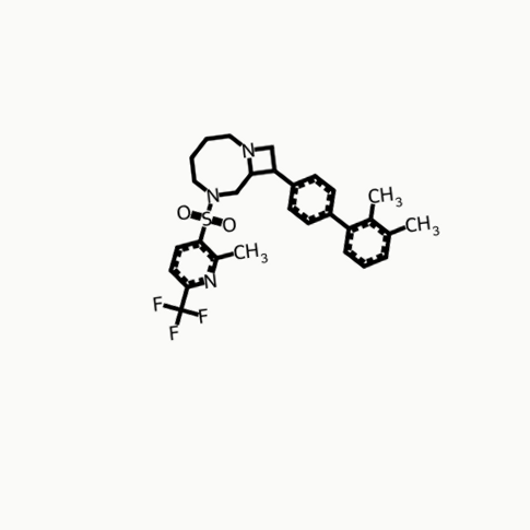 Cc1cccc(-c2ccc(C3CN4CCCCN(S(=O)(=O)c5ccc(C(F)(F)F)nc5C)CC34)cc2)c1C